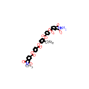 COc1cc(OC(=O)c2ccc(OC(=O)c3ccc4c(c3)C(=O)N(C)C4=O)cc2)ccc1OC(=O)c1ccc(OC(=O)c2ccc3c(c2)C(=O)N(N)C3=O)cc1